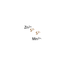 [Mn+2].[S-2].[S-2].[Zn+2]